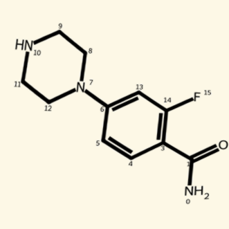 NC(=O)c1ccc(N2CCNCC2)cc1F